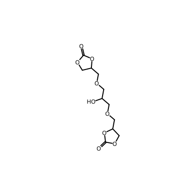 O=C1OCC(COCC(O)COCC2COC(=O)O2)O1